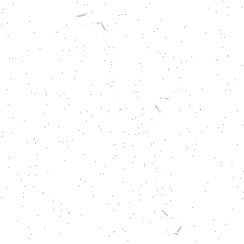 CCCCC/C=C\C/C=C\CCCCCCCCOC(C)OCC(OC(=O)CCCN(C)C)OC(C)OCCCCCCCC/C=C\C/C=C\CCCCC